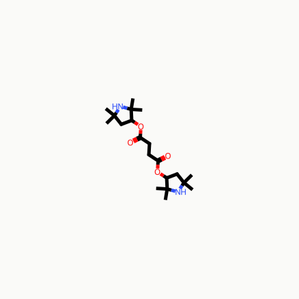 CC1(C)CC(OC(=O)CCC(=O)OC2CC(C)(C)NC2(C)C)C(C)(C)N1